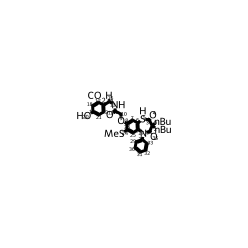 CCCCC1(CCCC)C(=O)[SH]c2cc(OCC(=O)N[C@@H](C(=O)O)c3ccc(O)cc3)c(SC)cc2N(c2ccccc2)C1=O